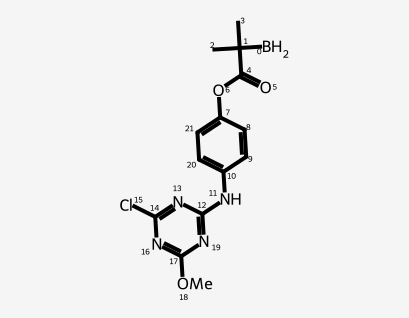 BC(C)(C)C(=O)Oc1ccc(Nc2nc(Cl)nc(OC)n2)cc1